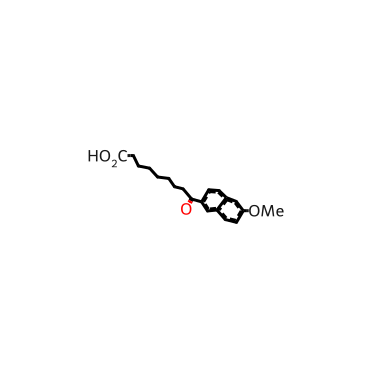 COc1ccc2cc(C(=O)CCCCCCCC(=O)O)ccc2c1